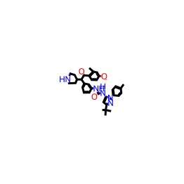 COc1ccc(C(=O)C(c2cccc(NC(=O)Nc3cc(C(C)(C)C)nn3-c3ccc(C)cc3)c2)C2CCNCC2)c(C)c1